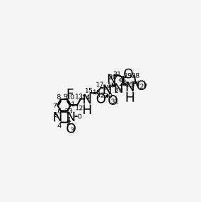 Cn1c(=O)cnc2ccc(F)c(CCNCC3CN(c4ncc5c(n4)NC(=O)CO5)C(=O)O3)c21